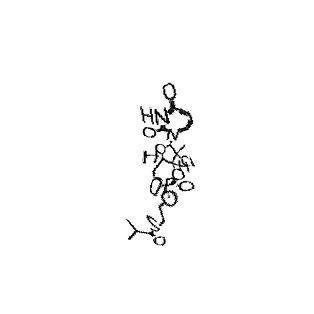 CC(C)C(=O)SCCO[P@]1(=O)OC[C@H]2O[C@@H](n3ccc(=O)[nH]c3=O)[C@](C)(Cl)[C@@H]2O1